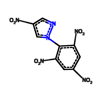 O=[N+]([O-])c1cc([N+](=O)[O-])c(-n2cc([N+](=O)[O-])cn2)c([N+](=O)[O-])c1